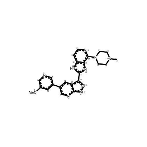 COc1cncc(-c2cnc3[nH]nc(-c4nc5c(N6CCN(C)CC6)nccc5[nH]4)c3c2)c1